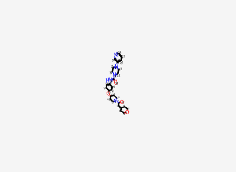 O=C(CC1CCOCC1)N1CCC(Oc2ccc(NC(=O)N3CCN(c4cccnc4)CC3)cc2)CC1